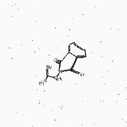 N=C(N)NN1C(=O)c2ccccc2C1=O